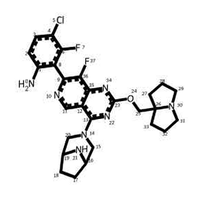 Nc1ccc(Cl)c(F)c1-c1ncc2c(N3CC4CCC(C3)N4)nc(OCC34CCCN3CCC4)nc2c1F